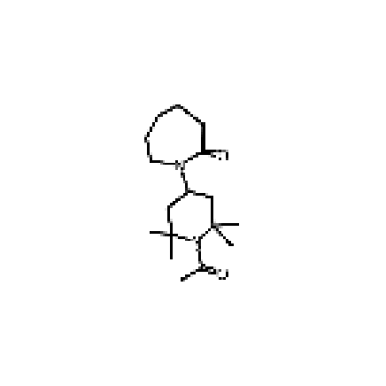 CC(=O)N1C(C)(C)CC(N2CCCCCC2=O)CC1(C)C